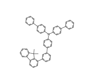 CC1(C)c2ccccc2-c2cccc(-c3cccc(-c4ccc(N(c5ccc(-c6ccccc6)cc5)c5ccc(-c6ccccc6)cc5)cc4)c3)c21